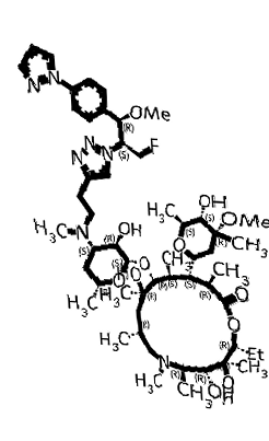 CC[C@H]1OC(=O)[C@H](C)[C@@H](C2C[C@@](C)(OC)[C@@H](O)[C@H](C)O2)[C@H](C)[C@@H](O[C@@H]2O[C@H](C)C[C@H](N(C)CCc3cn([C@H](CF)[C@H](OC)c4ccc(-n5cccn5)cc4)nn3)[C@H]2O)[C@](C)(O)C[C@@H](C)CN(C)[C@H](C)[C@@H](O)[C@]1(C)O